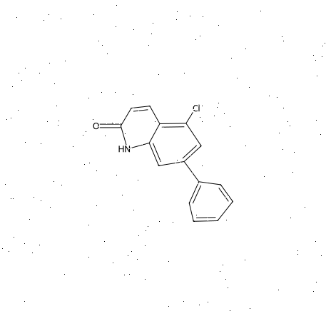 O=c1ccc2c(Cl)cc(-c3ccccc3)cc2[nH]1